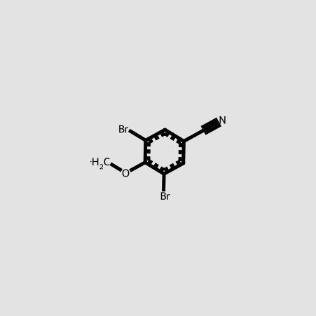 [CH2]Oc1c(Br)cc(C#N)cc1Br